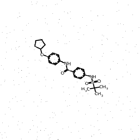 CC(C)(C)S(=O)(=O)Nc1ccc(C(=O)Nc2ccc(OC3CCCC3)cc2)cc1